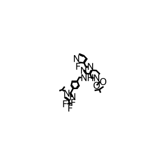 CC(C)n1cc(C(F)(F)F)nc1-c1ccc(CNc2nc(-c3cccnc3F)nc3c2CN(C(=O)OC(C)(C)C)CC3)cc1